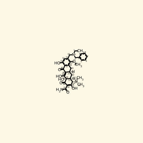 CCN(Cc1ccccc1)Cc1cc(O)c2c(c1OC)C[C@H]1C[C@H]3[C@H](N(C)C)C(O)=C(C(N)=O)C(=O)[C@@]3(O)C(O)=C1C2=O